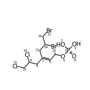 O=P(O)(O)OCC=C(CC(Cl)CCl)CC(Br)CBr